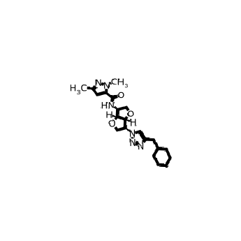 Cc1cc(C(=O)N[C@H]2CO[C@H]3[C@@H]2OC[C@@H]3n2cc(CC3CCCCC3)nn2)n(C)n1